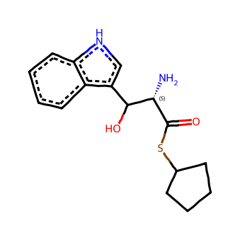 N[C@H](C(=O)SC1CCCC1)C(O)c1c[nH]c2ccccc12